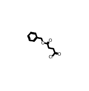 O=C(Cl)CCC(=O)OCc1ccccc1